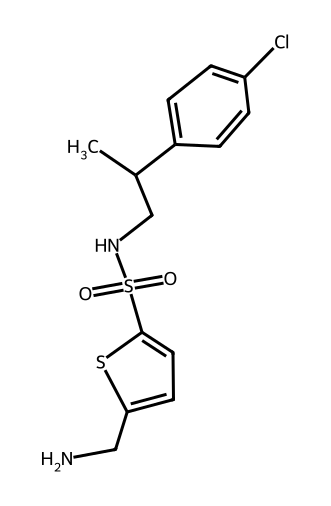 CC(CNS(=O)(=O)c1ccc(CN)s1)c1ccc(Cl)cc1